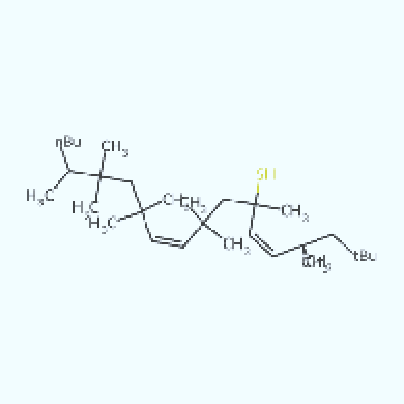 CCCCC(C)C(C)(C)CC(C)(C)/C=C\C(C)(C)CC(C)(S)/C=C\C(C)(C)CC(C)(C)C